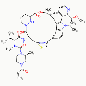 C=CC(=O)N1CCN(C(=O)N(C)[C@H](C(=O)N[C@H]2Cc3nc(cs3)-c3ccc4c(c3)c(c(-c3cccnc3[C@H](C)OC)n4CC)CC(C)(C)COC[C@@]3(C=O)CCCN(N3)C2=O)C(C)C)[C@@H](C)C1